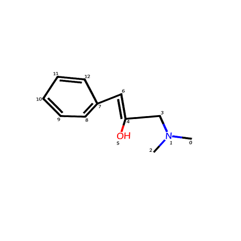 CN(C)CC(O)=Cc1ccccc1